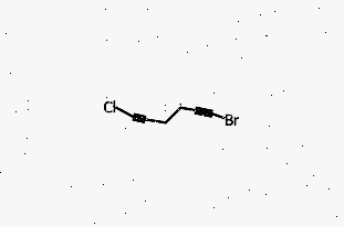 ClC#CC[CH]C#CBr